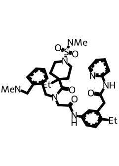 CCc1ccc(NC(=O)CN(Cc2ccccc2CNC)C(=O)C2(CC)CCN(S(=O)(=O)NC)CC2)cc1CC(=O)Nc1ccccn1